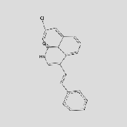 O=C1NC=C(C=Cc2ccccc2)C2=CC=CC3=CC(Cl)=CCC132